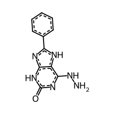 NNc1nc(=O)[nH]c2nc(-c3ccccc3)[nH]c12